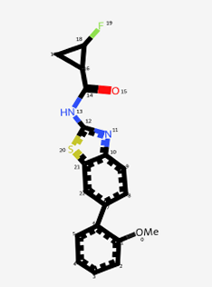 COc1ccccc1-c1ccc2nc(NC(=O)C3CC3F)sc2c1